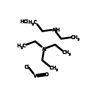 C[CH2][AlH][CH2]C.C[CH2][Al]([CH2]C)[CH2]C.Cl.[O]=[V][Cl]